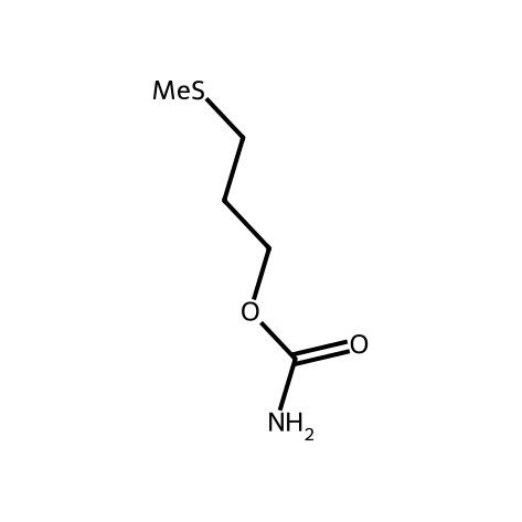 CSCCCOC(N)=O